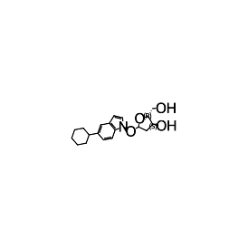 OC[C@H]1OC(On2ccc3cc(C4CCCCC4)ccc32)C[C@@H]1O